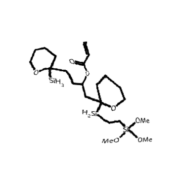 C=CC(=O)OC(CCC1([SiH3])CCCCO1)CC1([SiH2]CC[Si](OC)(OC)OC)CCCCO1